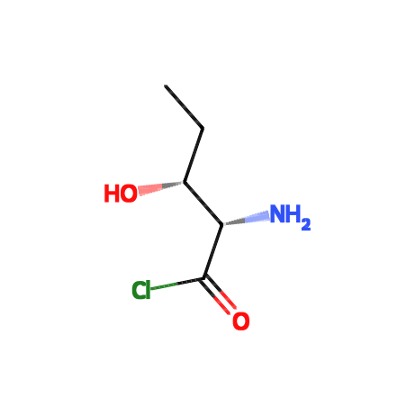 CC[C@@H](O)[C@H](N)C(=O)Cl